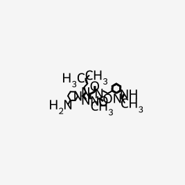 CC(C)=CCn1c(N2CCCC(N)C2)nc2c1c(=O)n(CC(=O)c1cccc3[nH]c(C)nc13)c(=O)n2C